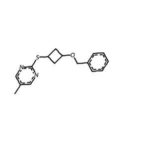 Cc1cnc(SC2CC(OCc3ccccc3)C2)nc1